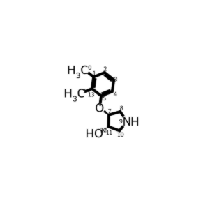 Cc1cccc(O[C@H]2CNC[C@@H]2O)c1C